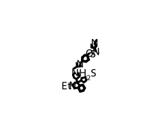 CCN1Cc2ccccc2C(C2CCCC2)(C2CCN(CC3CN(c4ccc(OSN(C)c5ccn(C)c5)cc4)C3)CC2)C1.S